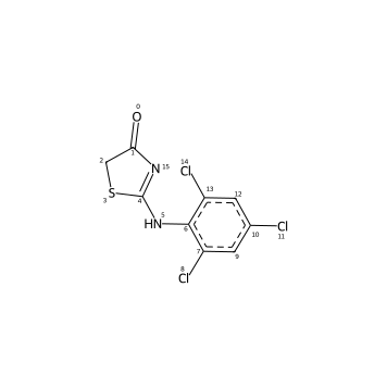 O=C1CSC(Nc2c(Cl)cc(Cl)cc2Cl)=N1